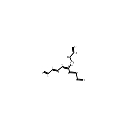 C=C/C=C/C=C(\C=C\C=C)OCC=C